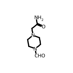 NC(=O)CN1CCN(C=O)CC1